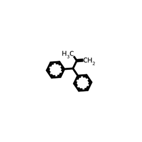 C=C(C)C(c1ccccc1)c1ccccc1